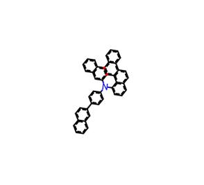 c1ccc2cc(-c3ccc(N(c4ccc5ccccc5c4)c4cccc5ccc6c7ccccc7ccc6c45)cc3)ccc2c1